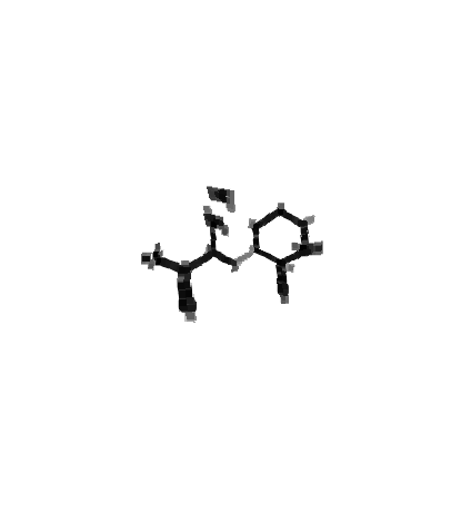 Cl.NC(=O)C(N)C[C@@H]1CCCNC1=O